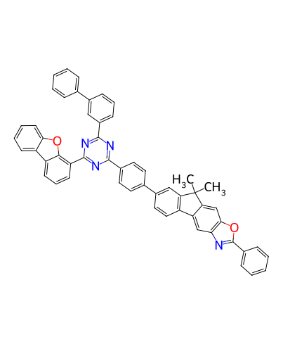 CC1(C)c2cc(-c3ccc(-c4nc(-c5cccc(-c6ccccc6)c5)nc(-c5cccc6c5oc5ccccc56)n4)cc3)ccc2-c2cc3nc(-c4ccccc4)oc3cc21